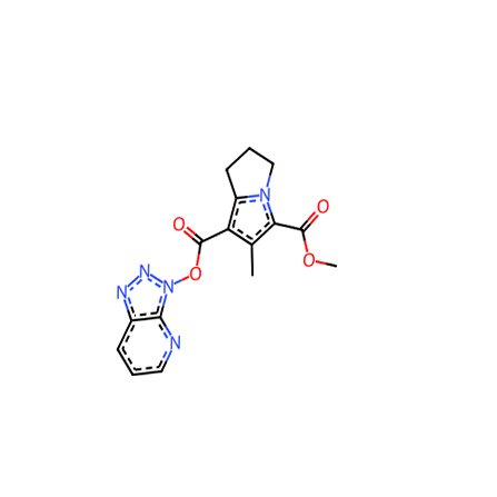 COC(=O)c1c(C)c(C(=O)On2nnc3cccnc32)c2n1CCC2